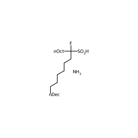 CCCCCCCCCCCCCCCCC(F)(CCCCCCCC)S(=O)(=O)O.N